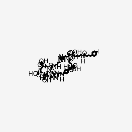 Nc1nc2ncc(CNc3ccc(C(=O)NC(CCC(=O)NC(Cc4cn(CCCCNC(=O)CN5CCN(CC(=O)O)CCN(CC(=O)O)CCN(CC(=O)O)CC5)nn4)C(=O)NC(CCCCNC(=O)CCCc4ccc(I)cc4)C(=O)O)C(=O)O)cc3)nc2c(=O)[nH]1